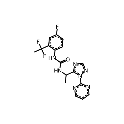 CC(NC(=O)Nc1ccc(F)cc1C(C)(F)F)c1ncnn1-c1ncccn1